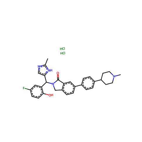 Cc1ncc(C(c2cc(F)ccc2O)N2Cc3ccc(-c4ccc(C5CCN(C)CC5)cc4)cc3C2=O)[nH]1.Cl.Cl